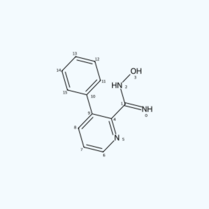 N=C(NO)c1ncccc1-c1ccccc1